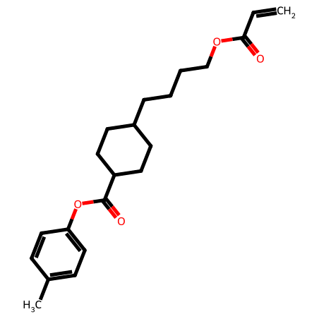 C=CC(=O)OCCCCC1CCC(C(=O)Oc2ccc(C)cc2)CC1